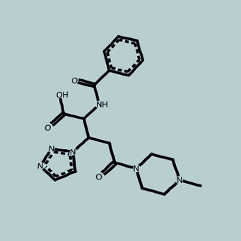 CN1CCN(C(=O)CC(C(NC(=O)c2ccccc2)C(=O)O)n2ccnn2)CC1